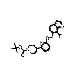 CC(C)(C)OC(=O)N1CCC(c2cccc(OCc3ccc4ccoc4c3F)n2)CC1